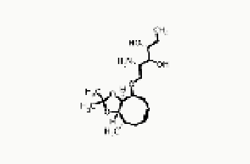 CC[C@@H](O)[C@@H](O)[C@@H](N)COC1C/C=C\C[C@H](C)[C@@H]2OC(C)(C)O[C@@H]12